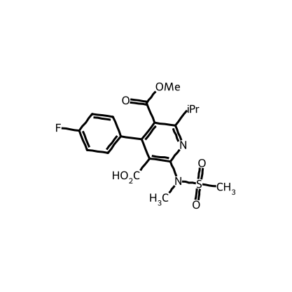 COC(=O)c1c(C(C)C)nc(N(C)S(C)(=O)=O)c(C(=O)O)c1-c1ccc(F)cc1